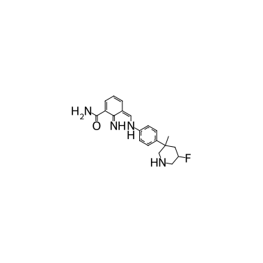 CC1(c2ccc(N/C=C3/C=CC=C(C(N)=O)C3=N)cc2)CNCC(F)C1